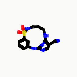 N#Cc1cnc2nc1NCCCNS(=O)(=O)c1cccc(c1)N2